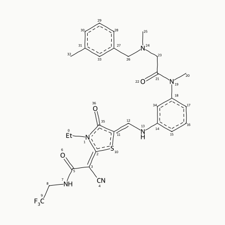 CCn1c(=C(C#N)C(=O)NCC(F)(F)F)sc(=CNc2cccc(N(C)C(=O)CN(C)Cc3cccc(C)c3)c2)c1=O